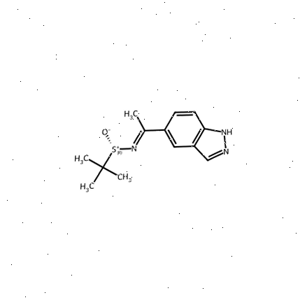 CC(=N[S@@+]([O-])C(C)(C)C)c1ccc2[nH]ncc2c1